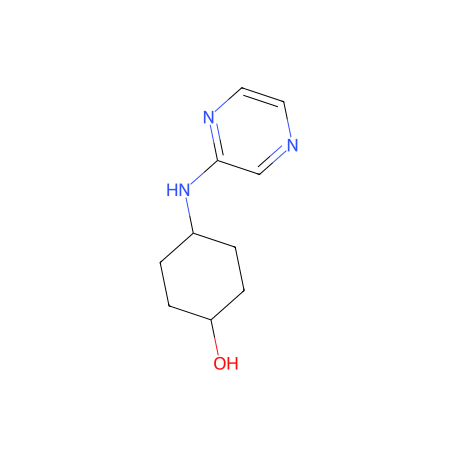 OC1CCC(Nc2cnccn2)CC1